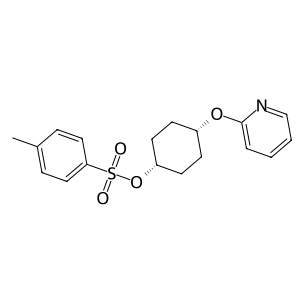 Cc1ccc(S(=O)(=O)O[C@H]2CC[C@@H](Oc3ccccn3)CC2)cc1